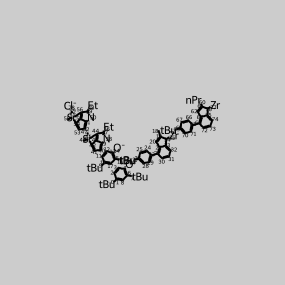 CC(C)(C)c1ccc([O-])c(C(C)(C)C)c1.CC(C)(C)c1ccc([O-])c(C(C)(C)C)c1.CC1=Cc2c(-c3ccc(C(C)(C)C)cc3)cccc2[CH]1[Zr].CCC1=NC2=CC=C3C2=C1[Si]3(C)C.CCC1=NC2=CC=C3C2=C1[Si]3(C)C.CCCC1=Cc2c(-c3ccc(C(C)(C)C)cc3)cccc2[CH]1[Zr].[Cl-]